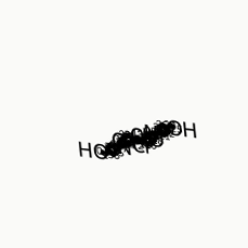 OCc1ccc(-c2nc3cc(C(Cl)(Cl)c4ccc5oc(-c6ccc(CO)cc6)nc5c4)ccc3o2)cc1